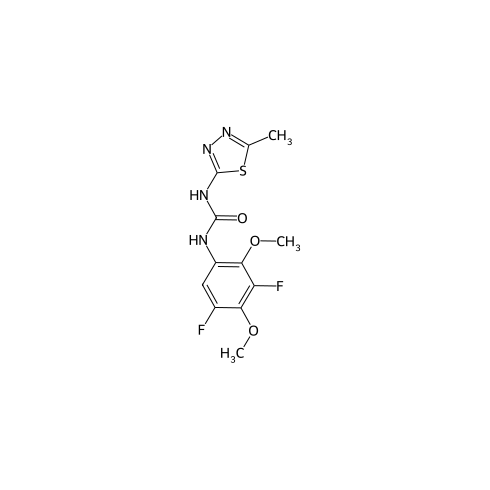 COc1c(F)cc(NC(=O)Nc2nnc(C)s2)c(OC)c1F